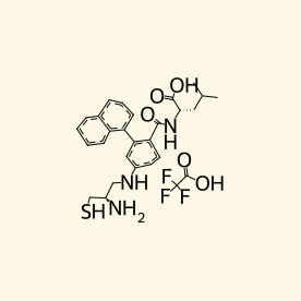 CC(C)C[C@H](NC(=O)c1ccc(NC[C@@H](N)CS)cc1-c1cccc2ccccc12)C(=O)O.O=C(O)C(F)(F)F